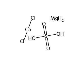 O=S(=O)(O)O.[Cl][Ca][Cl].[MgH2]